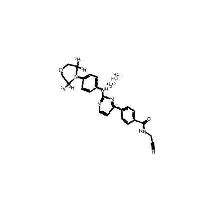 Cl.Cl.O.[2H]C1([2H])COCC([2H])([2H])N1c1ccc(Nc2nccc(-c3ccc(C(=O)NCC#N)cc3)n2)cc1